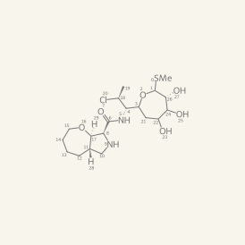 CSC1OC([C@H](NC(=O)[C@H]2NC[C@@H]3CCCCO[C@H]32)[C@H](C)Cl)CC(O)C(O)[C@H]1O